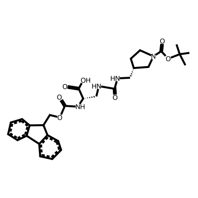 CC(C)(C)OC(=O)N1CC[C@@H](CNC(=O)NC[C@H](NC(=O)OCC2c3ccccc3-c3ccccc32)C(=O)O)C1